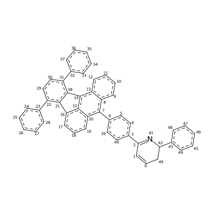 C1=CC(c2ccc(-c3c4ccccc4c4c5c(cccc35)-c3c(-c5ccccc5)ccc(-c5ccccc5)c3-4)cc2)=NC(c2ccccc2)C1